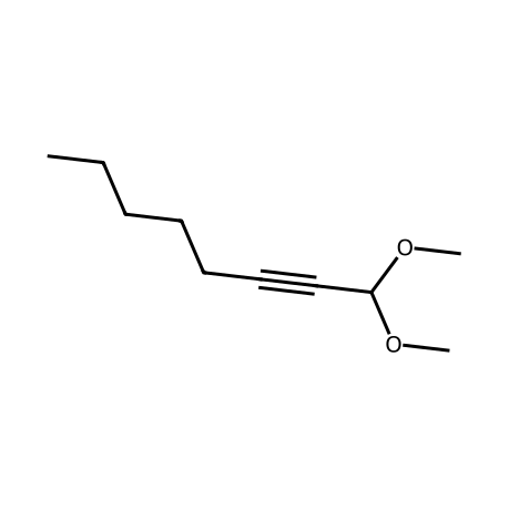 CCCCCC#CC(OC)OC